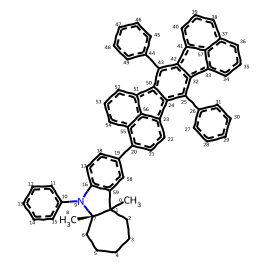 CC12CCCCC[C@]1(C)N(c1ccccc1)c1ccc(-c3ccc4c5c(-c6ccccc6)c6c7cccc8cccc(c6c(-c6ccccc6)c5c5cccc3c54)c87)cc12